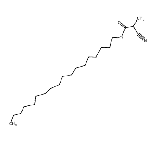 CCCCCCCCCCCCCCCCCCOC(=O)C(C)C#N